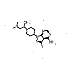 CN(C)CC(C=O)N1CCC(n2nc(I)c3c(N)ncnc32)CC1